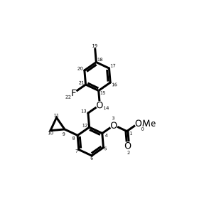 COC(=O)Oc1cccc(C2CC2)c1COc1ccc(C)cc1F